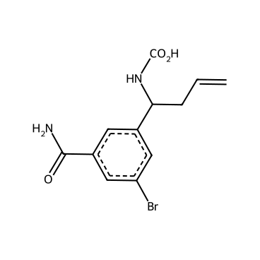 C=CCC(NC(=O)O)c1cc(Br)cc(C(N)=O)c1